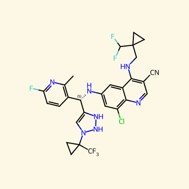 Cc1nc(F)ccc1[C@H](Nc1cc(Cl)c2ncc(C#N)c(NCC3(C(F)F)CC3)c2c1)C1=CN(C2(C(F)(F)F)CC2)NN1